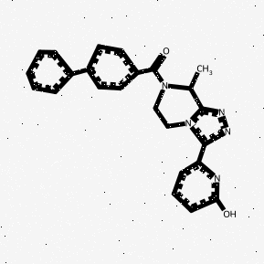 CC1c2nnc(-c3cccc(O)n3)n2CCN1C(=O)c1ccc(-c2ccccc2)cc1